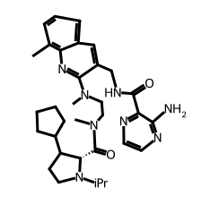 Cc1cccc2cc(CNC(=O)c3nccnc3N)c(N(C)CCN(C)C(=O)[C@H]3C(C4CCCC4)CCN3C(C)C)nc12